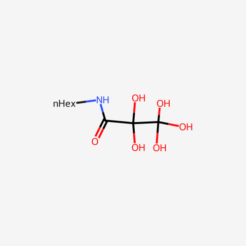 CCCCCCNC(=O)C(O)(O)C(O)(O)O